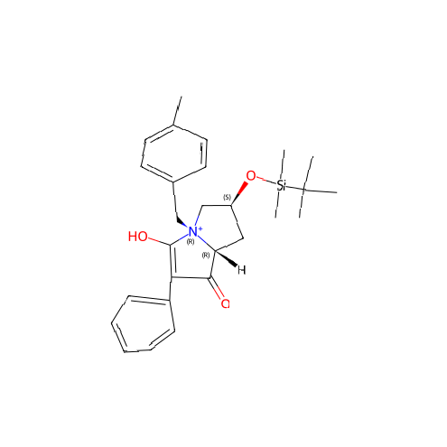 Cc1ccc(C[N@@+]23C[C@@H](O[Si](C)(C)C(C)(C)C)C[C@@H]2C(=O)C(c2ccccc2)=C3O)cc1